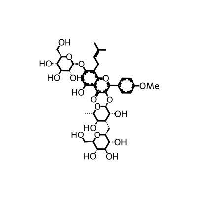 COc1ccc(-c2oc3c(CC=C(C)C)c(O[C@@H]4O[C@H](CO)[C@@H](O)[C@H](O)[C@H]4O)cc(O)c3c(=O)c2O[C@@H]2O[C@@H](C)[C@H](O)[C@@H](C[C@@H]3O[C@H](CO)[C@@H](O)[C@H](O)[C@H]3O)[C@H]2O)cc1